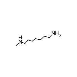 CNCCCCCCCN